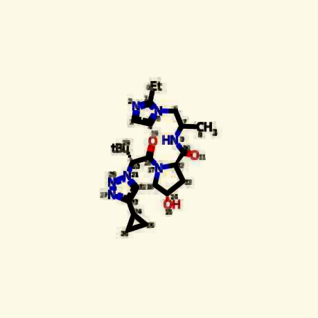 CCc1nccn1CC(C)NC(=O)[C@H]1C[C@H](O)CN1C(=O)[C@H](n1cc(C2CC2)nn1)C(C)(C)C